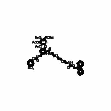 CC(=O)OC[C@H]1O[C@@H](Oc2ccc(COC(=O)Oc3ccc([N+](=O)[O-])cc3)cc2C(=O)NCCOCCOCCNC(=O)OCC2c3ccccc3-c3ccccc32)[C@H](OC(C)=O)[C@@H](OC(C)=O)[C@@H]1OC(C)=O